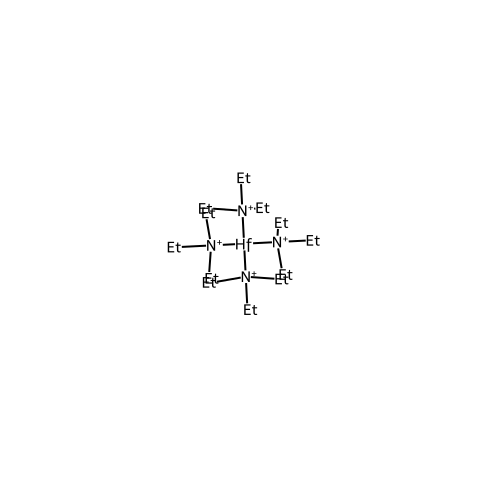 CC[N+](CC)(CC)[Hf]([N+](CC)(CC)CC)([N+](CC)(CC)CC)[N+](CC)(CC)CC